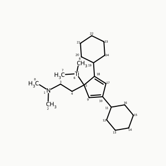 CN(C)CC[C]1([Ti]([CH3])[CH3])C=C(C2CCCCC2)C=C1C1CCCCC1